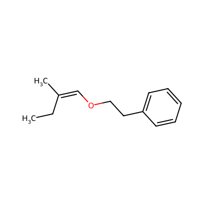 CCC(C)=COCCc1ccccc1